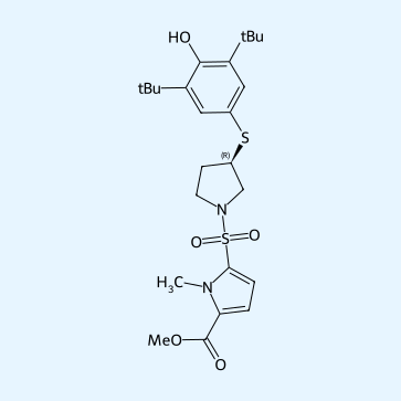 COC(=O)c1ccc(S(=O)(=O)N2CC[C@@H](Sc3cc(C(C)(C)C)c(O)c(C(C)(C)C)c3)C2)n1C